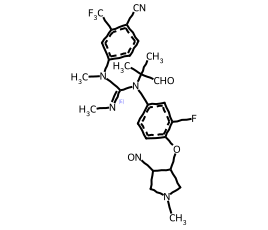 C/N=C(\N(C)c1ccc(C#N)c(C(F)(F)F)c1)N(c1ccc(OC2CN(C)CC2N=O)c(F)c1)C(C)(C)C=O